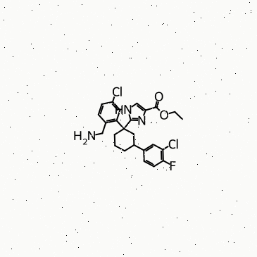 CCOC(=O)c1c[nH]c(C2(c3cc(Cl)ccc3CN)CCCC(c3ccc(F)c(Cl)c3)C2)n1